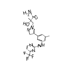 Cc1cc(Nc2nccc(C(F)(F)F)n2)cc(-c2cnn(CC(C)(O)C(N)=O)c2)c1